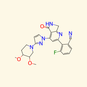 COC1CCN(c2ccn(-c3cc(-c4c(F)cccc4C#N)nc4c3C(=O)NC4)n2)CC1OC